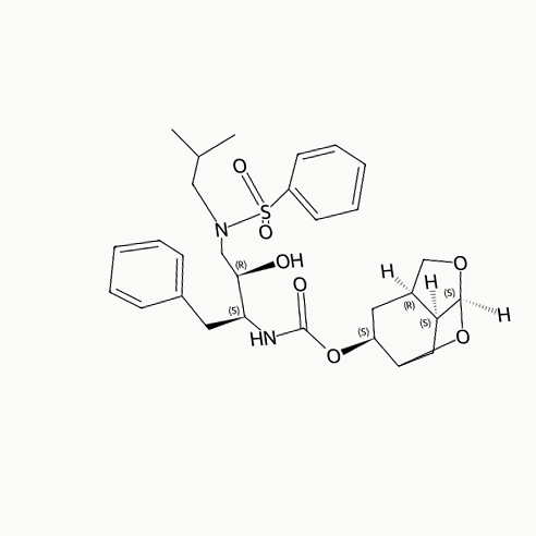 CC(C)CN(C[C@@H](O)[C@H](Cc1ccccc1)NC(=O)O[C@H]1C[C@H]2CO[C@H]3OC1C[C@@H]23)S(=O)(=O)c1ccccc1